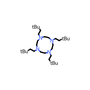 CC(C)(C)CCN1CCN(CCC(C)(C)C)CCN(CCC(C)(C)C)CCN(CCC(C)(C)C)CC1